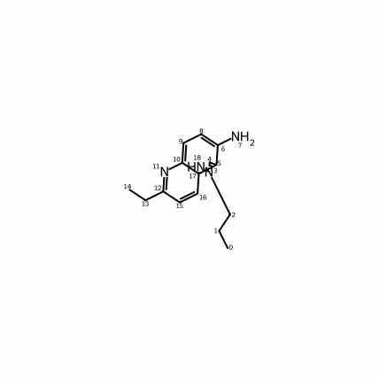 CCCN1C=C2C(N)=CC=C3N=C(CC)C=CC32N1